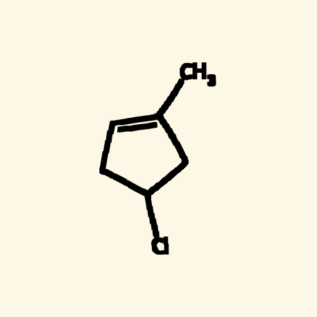 CC1=CCC(Cl)C1